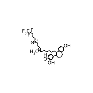 CN(CCCCCCC1=C(c2ccc(O)c(O)c2)CCCc2cc(O)ccc21)CCC[S+]([O-])CCCC(F)(F)C(F)(F)F